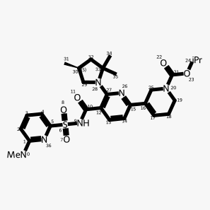 CNc1cccc(S(=O)(=O)NC(=O)c2ccc(C3=CCCN(C(=O)OC(C)C)C3)nc2N2C[C@@H](C)CC2(C)C)n1